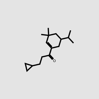 CC(C)C1CC(C(=O)CCC2CC2)=CC(C)(C)C1